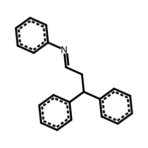 C(CC(c1ccccc1)c1ccccc1)=Nc1ccccc1